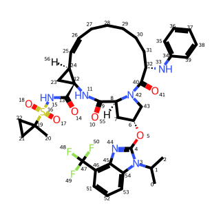 CC(C)n1c(O[C@@H]2C[C@H]3C(=O)N[C@]4(C(=O)NS(=O)(=O)C5(C)CC5)C[C@H]4/C=C\CCCCC[C@H](Nc4ccccc4)C(=O)N3C2)nc2c(C(F)(F)F)cccc21